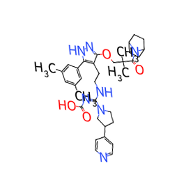 Cc1cc(C)cc(-c2[nH]nc(OCC(C)(C)C(=O)N3C4CCC3CC4)c2CCN/C(=N/C(=O)O)N2CCC(c3ccncc3)C2)c1